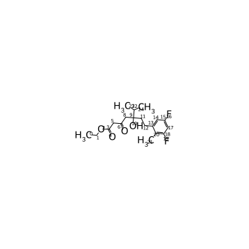 CCOC(=O)CC(=O)CC(O)(CCc1cc(F)cc(F)c1C)C(C)C